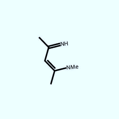 CN/C(C)=C\C(C)=N